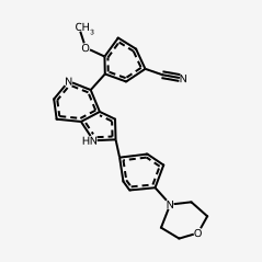 COc1ccc(C#N)cc1-c1nccc2[nH]c(-c3ccc(N4CCOCC4)cc3)cc12